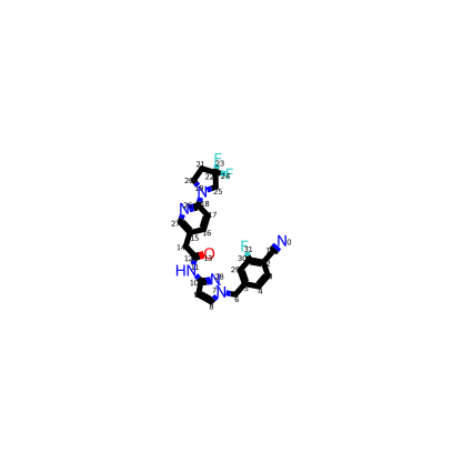 N#Cc1ccc(Cn2ccc(NC(=O)Cc3ccc(N4CCC(F)(F)C4)nc3)n2)cc1F